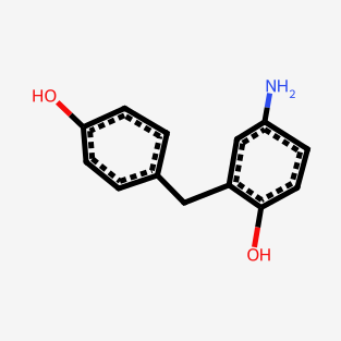 Nc1ccc(O)c(Cc2ccc(O)cc2)c1